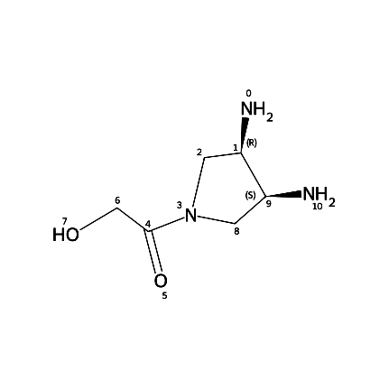 N[C@@H]1CN(C(=O)CO)C[C@@H]1N